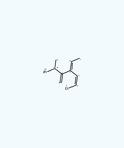 C=C(C(/C=C\CC)=C/C)N(C)C(C)C